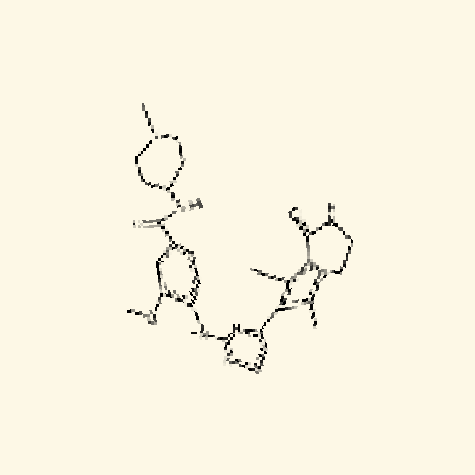 COc1cc(C(=O)NC2CCN(C)CC2)ccc1Nc1nccc(-c2c(C)c3n(c2C)CCNC3=O)n1